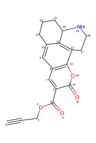 C#CCOC(=O)c1cc2cc3c4c(c2oc1=O)CCNC4CCC3